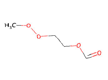 COOCCOC=O